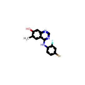 Cc1cc2c(Nc3ccc(Br)cc3F)ncnc2cc1O